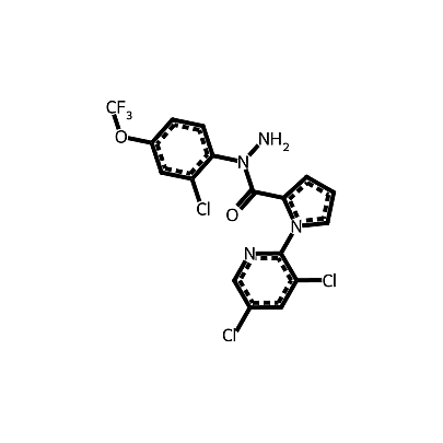 NN(C(=O)c1cccn1-c1ncc(Cl)cc1Cl)c1ccc(OC(F)(F)F)cc1Cl